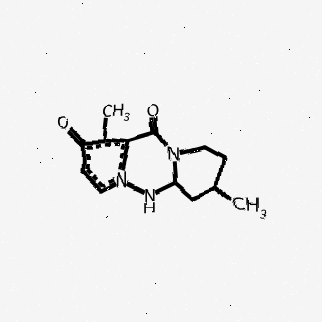 Cc1c2n(ccc1=O)NC1CC(C)CCN1C2=O